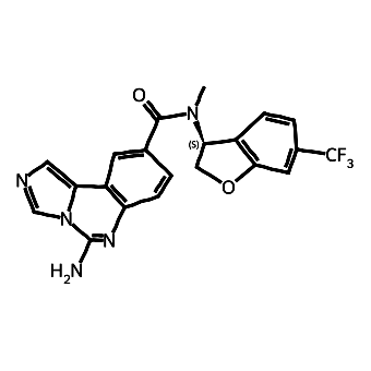 CN(C(=O)c1ccc2nc(N)n3cncc3c2c1)[C@@H]1COc2cc(C(F)(F)F)ccc21